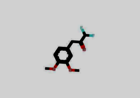 COc1ccc(CC(=O)C(F)F)cc1OC